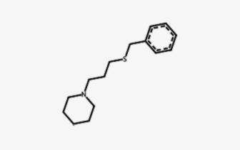 [CH]1CCN(CCCSCc2ccccc2)CC1